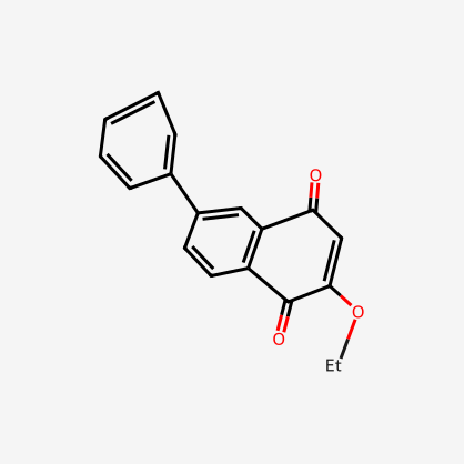 CCOC1=CC(=O)c2cc(-c3ccccc3)ccc2C1=O